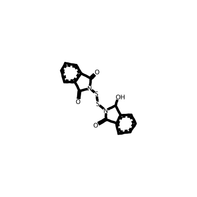 O=C1c2ccccc2C(=O)N1SSN1C(=O)c2ccccc2C1O